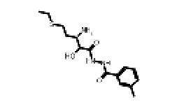 CCSCC[C@@H](N)C(O)C(=O)NNC(=O)c1cccc(C)c1